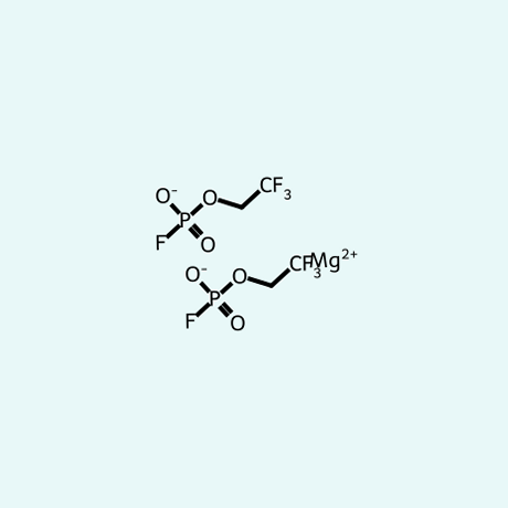 O=P([O-])(F)OCC(F)(F)F.O=P([O-])(F)OCC(F)(F)F.[Mg+2]